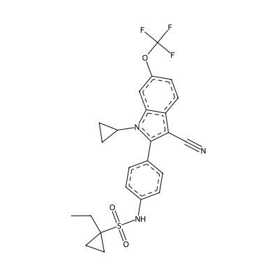 CCC1(S(=O)(=O)Nc2ccc(-c3c(C#N)c4ccc(OC(F)(F)F)cc4n3C3CC3)cc2)CC1